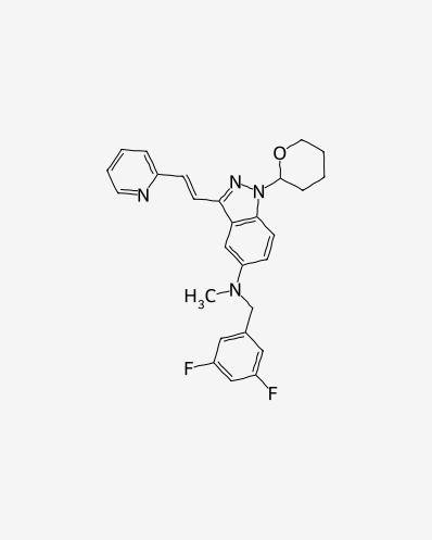 CN(Cc1cc(F)cc(F)c1)c1ccc2c(c1)c(C=Cc1ccccn1)nn2C1CCCCO1